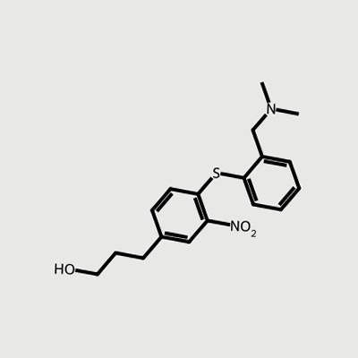 CN(C)Cc1ccccc1Sc1ccc(CCCO)cc1[N+](=O)[O-]